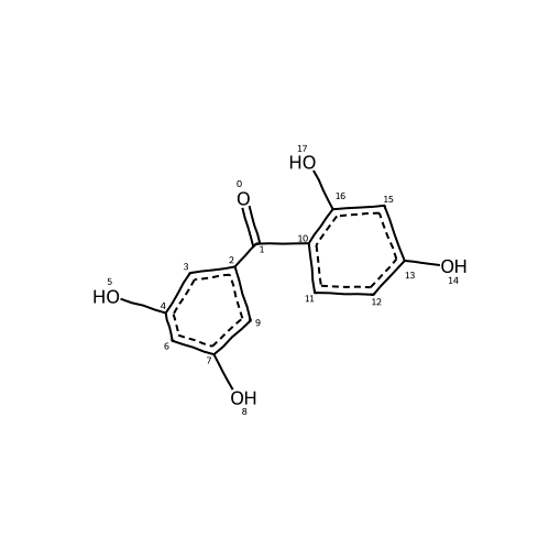 O=C(c1cc(O)cc(O)c1)c1ccc(O)cc1O